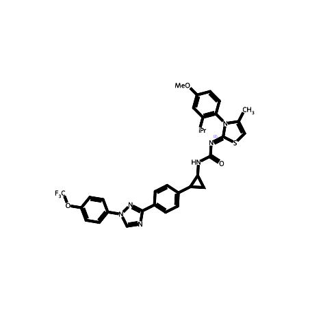 COc1ccc(-n2c(C)cs/c2=N\C(=O)NC2CC2c2ccc(-c3ncn(-c4ccc(OC(F)(F)F)cc4)n3)cc2)c(C(C)C)c1